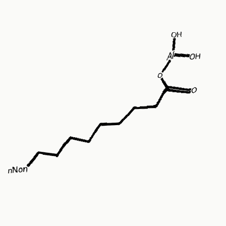 CCCCCCCCCCCCCCCCCC(=O)[O][Al]([OH])[OH]